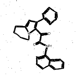 O=C(Nc1cccc2ccccc12)C(=O)c1c(-c2ccccc2)cc2n1CCCC2